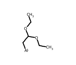 CCOC([CH2][Al])OCC